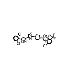 O=C(Cn1c(Cl)ccc(C(F)(F)F)c1=O)N1CCC(c2nc(C3=NOC(c4c(Cl)cccc4Cl)C3)cs2)CC1